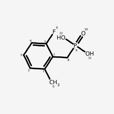 Cc1cccc(F)c1CP(=O)(O)O